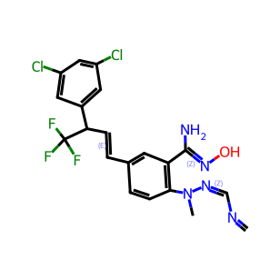 C=N/C=N\N(C)c1ccc(/C=C/C(c2cc(Cl)cc(Cl)c2)C(F)(F)F)cc1/C(N)=N/O